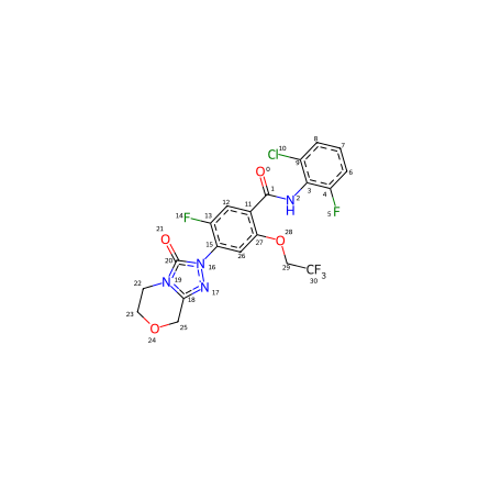 O=C(Nc1c(F)cccc1Cl)c1cc(F)c(-n2nc3n(c2=O)CCOC3)cc1OCC(F)(F)F